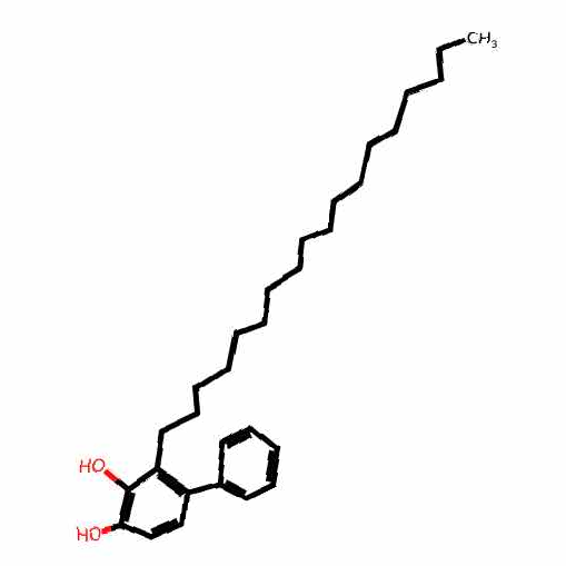 CCCCCCCCCCCCCCCCCCc1c(-c2ccccc2)ccc(O)c1O